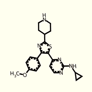 COc1ccc(-c2nc(C3CCNCC3)sc2-c2ccnc(NC3CC3)n2)cc1